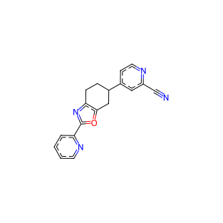 N#Cc1cc(C2CCc3nc(-c4ccccn4)oc3C2)ccn1